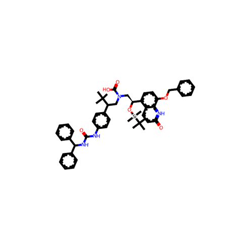 CC(C)(C)C(CN(C[C@H](O[Si](C)(C)C(C)(C)C)c1ccc(OCc2ccccc2)c2[nH]c(=O)ccc12)C(=O)O)c1ccc(NC(=O)NC(c2ccccc2)c2ccccc2)cc1